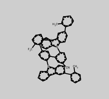 Cc1ccccc1-c1ccc2c(c1)c1ccccc1n2-c1ccc(C#N)cc1-c1cc(-c2c(C(F)(F)F)cccc2C(F)(F)F)ccc1-n1c2ccccc2c2cc(-c3ccccc3C)ccc21